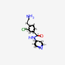 NCCc1ccc(C(=O)Nc2ccncc2)cc1Cl